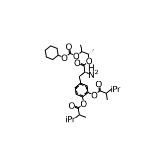 CC(C)C(C)C(=O)Oc1ccc(C[C@H](N)C(=O)O[C@@H](C)C(C)OC(=O)OC2CCCCC2)cc1OC(=O)C(C)C(C)C